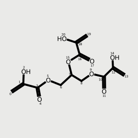 C=C(O)C(=O)OCC(COC(=O)C(=C)O)OC(=O)C(=C)O